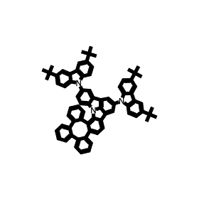 CC(C)(C)c1ccc2c(c1)c1cc(C(C)(C)C)ccc1n2-c1ccc2c(c1)c1cc(-n3c4ccc(C(C)(C)C)cc4c4cc(C(C)(C)C)ccc43)cc3c4ccc5c(c4n2c13)-c1ccccc1-c1ccccc1-c1ccccc1-5